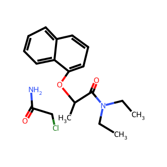 CCN(CC)C(=O)C(C)Oc1cccc2ccccc12.NC(=O)CCl